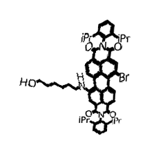 CC(C)c1cccc(C(C)C)c1N1C(=O)c2ccc3c4c(NCCCCCCO)cc5c6c(ccc(c7c(Br)cc(c2c37)C1=O)c64)C(=O)N(c1c(C(C)C)cccc1C(C)C)C5=O